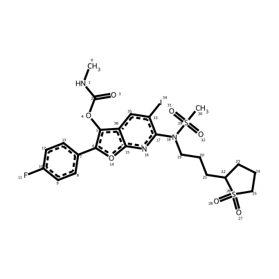 CNC(=O)Oc1c(-c2ccc(F)cc2)oc2nc(N(CCCC3CCCS3(=O)=O)S(C)(=O)=O)c(I)cc12